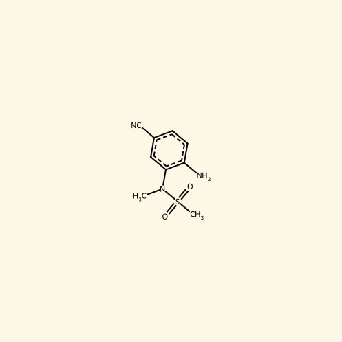 CN(c1cc(C#N)ccc1N)S(C)(=O)=O